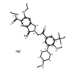 Br.CCOc1cc2c(nc1C(=O)NC)C(=N)N(CC(=O)c1cc(N3CCC(OC)CC3)c(OC)c(C(C)(C)C)c1)C2